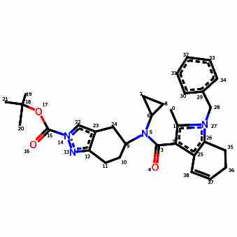 Cc1c(C(=O)N(C2CC2)C2CCc3nn(C(=O)OC(C)(C)C)cc3C2)c2c(n1Cc1ccccc1)CCC=C2